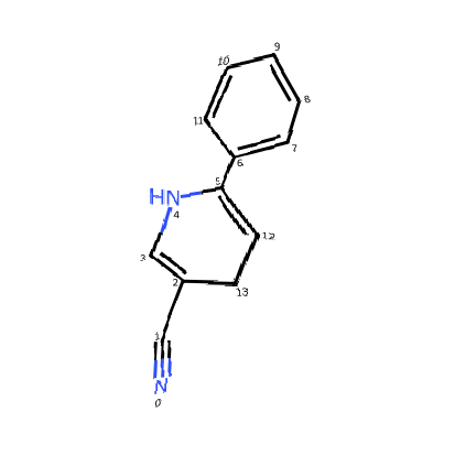 N#CC1=CNC(c2ccccc2)=CC1